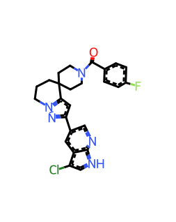 O=C(c1ccc(F)cc1)N1CCC2(CCCn3nc(-c4cnc5[nH]cc(Cl)c5c4)cc32)CC1